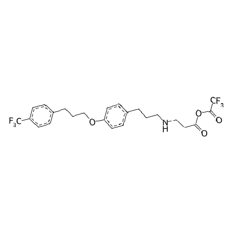 O=C(CCNCCCc1ccc(OCCCc2ccc(C(F)(F)F)cc2)cc1)OC(=O)C(F)(F)F